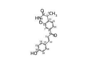 CC1C(=O)NOc2cc(C(=O)C=Cc3ccc(O)cc3)ccc21